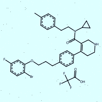 Cc1ccc(CCN(C(=O)C2=C(c3ccc(CCCOc4cc(F)ccc4Br)cc3)CCNC2)C2CC2)cc1.O=C(O)C(F)(F)F